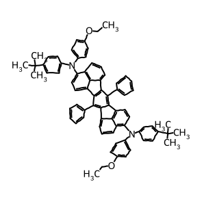 CCOc1ccc(N(c2ccc(C(C)(C)C)cc2)c2ccc3c4c(-c5ccccc5)c5c6cccc7c(N(c8ccc(OCC)cc8)c8ccc(C(C)(C)C)cc8)ccc(c5c(-c5ccccc5)c4c4cccc2c43)c76)cc1